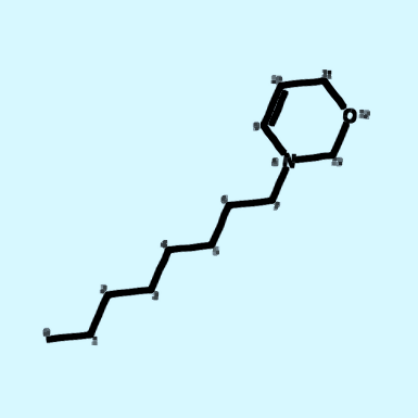 CCCCCCCCN1C=CCOC1